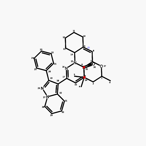 CC1CC(C)(C)N=C(/C=C2/CCCCC2n2nc(-c3c(-c4ccccc4)nn4ccccc34)ccc2=O)O1